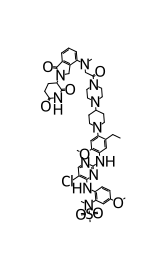 CCc1cc(Nc2ncc(Cl)c(Nc3ccc(OC)cc3N(C)S(C)(=O)=O)n2)c(OC)cc1N1CCC(N2CCN(C(=O)CN(C)c3cccc4c3CN(C3CCC(=O)NC3=O)C4=O)CC2)CC1